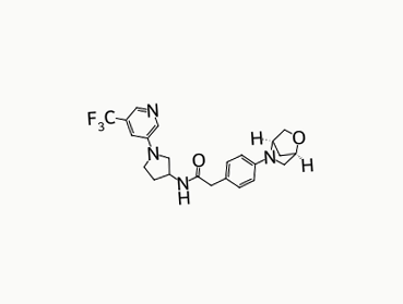 O=C(Cc1ccc(N2C[C@H]3C[C@@H]2CO3)cc1)NC1CCN(c2cncc(C(F)(F)F)c2)C1